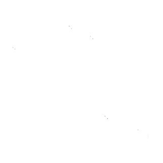 Cc1nc2c(cc1-c1ccncc1)C(=Cc1ccc(-c3cc(C(F)(F)F)cn3C)s1)C(=O)N2